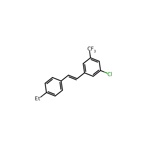 CCc1ccc(/C=C/c2cc(Cl)cc(C(F)(F)F)c2)cc1